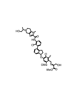 COC(=O)/C(CO)=N/Cc1c(OC)cc(OC2CCc3c(-c4cccc(NC(=O)c5nc6c(n5C)CCN(C(C)CO)C6)c4Cl)cccc32)c(Cl)c1F